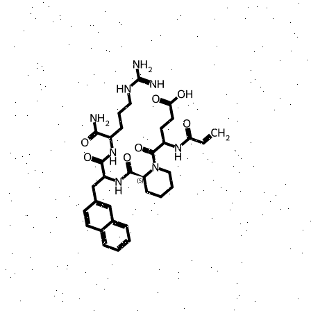 C=CC(=O)NC(CCC(=O)O)C(=O)N1CCCC[C@H]1C(=O)NC(Cc1ccc2ccccc2c1)C(=O)NC(CCCNC(=N)N)C(N)=O